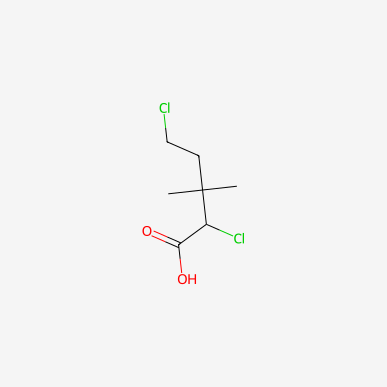 CC(C)(CCCl)C(Cl)C(=O)O